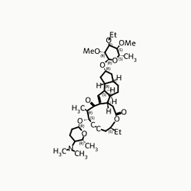 CCO[C@@H]1[C@@H](OC)[C@H](C)O[C@@H](O[C@@H]2C[C@H]3CC[C@@H]4[C@@H](C=C5C(=O)[C@H](C)[C@@H](O[C@H]6CCC(N(C)C)[C@@H](C)O6)CCC[C@H](CC)OC(=O)C[C@H]54)[C@@H]3C2)[C@@H]1OC